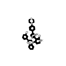 O=c1[nH]ccc(N(CC(O)c2cccc(Cl)c2)c2ccccc2)c1-c1ncc(-c2ccc(N3CCOCC3)cc2)[nH]1